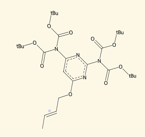 C/C=C/COc1cc(N(C(=O)OC(C)(C)C)C(=O)OC(C)(C)C)nc(N(C(=O)OC(C)(C)C)C(=O)OC(C)(C)C)n1